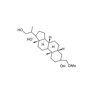 COC[C@@]1(O)CC[C@@]2(C)[C@H](CC[C@@H]3[C@@H]2CC[C@@]2(C)[C@H]3CC[C@]2(O)C(C)CO)C1